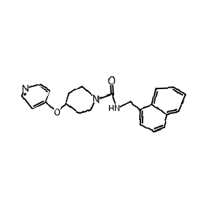 O=C(NCc1cccc2ccccc12)N1CCC(Oc2ccncc2)CC1